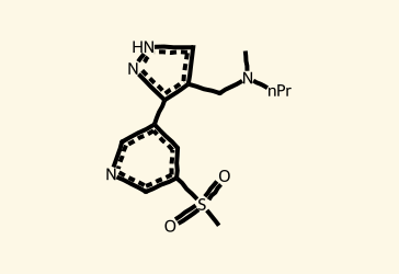 CCCN(C)Cc1c[nH]nc1-c1cncc(S(C)(=O)=O)c1